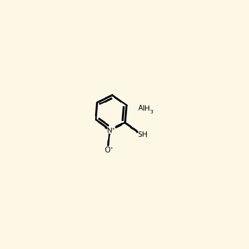 [AlH3].[O-][n+]1ccccc1S